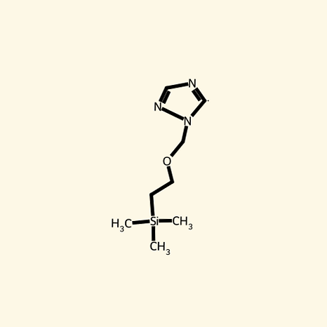 C[Si](C)(C)CCOCn1[c]ncn1